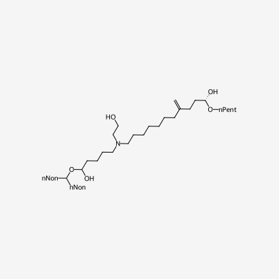 C=C(CCCCCCCN(CCO)CCCCC(O)OC(CCCCCCCCC)CCCCCCCCC)CC[C@H](O)OCCCCC